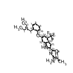 CCN(CC)Cc1ccccc1Oc1cc(C(F)(F)F)c2cc(C(=O)N=C(N)NC)[nH]c2c1